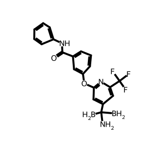 BC(B)(N)c1cc(Oc2cccc(C(=O)Nc3ccccc3)c2)nc(C(F)(F)F)c1